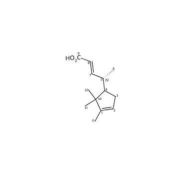 CC1=CCC([C@@H](C)C=CC(=O)O)C1(C)C